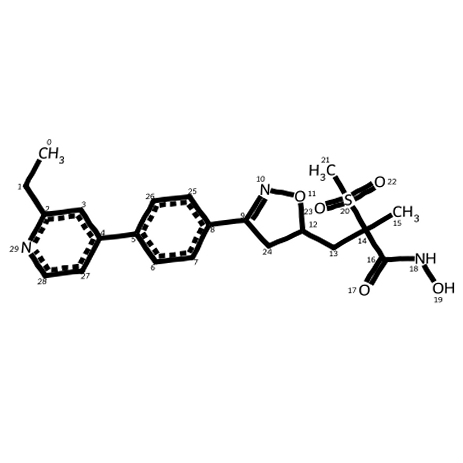 CCc1cc(-c2ccc(C3=NOC(CC(C)(C(=O)NO)S(C)(=O)=O)C3)cc2)ccn1